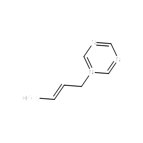 O=S(=O)(O)/C=C/C[n+]1cncnc1